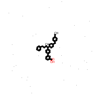 C#Cc1ccc(CC2CCC(C(C(=C)CCc3ccccc3)c3ccc(-c4cccc(C(=O)O)c4)cc3)CC2)cc1